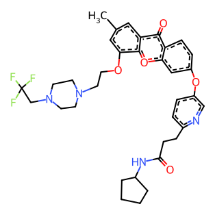 Cc1cc(OCCN2CCN(CC(F)(F)F)CC2)c2oc3cc(Oc4ccc(CCC(=O)NC5CCCC5)nc4)ccc3c(=O)c2c1